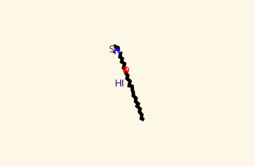 CCCCCCCCCCCCCCCCCCOCCCCCCN1C=CSC1.I